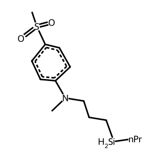 CCC[SiH2]CCCN(C)c1ccc(S(C)(=O)=O)cc1